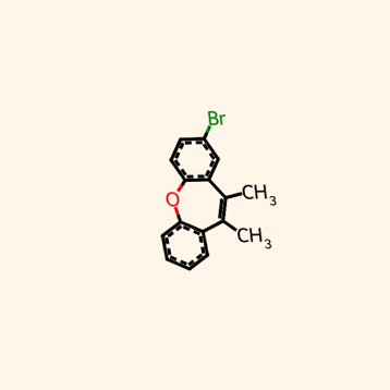 CC1=C(C)c2cc(Br)ccc2Oc2ccccc21